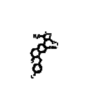 COc1cc2c(cc1-c1c(C)noc1C)CCC(=O)N2Cc1ccc(Cl)cc1